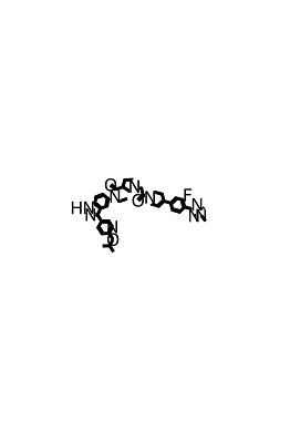 CCN(C(=O)C1CCN(CC(=O)N2CC=C(c3ccc(-c4ncn(C)n4)c(F)c3)CC2)C1)c1ccc2[nH]nc(-c3ccc(OC(C)C)nc3)c2c1